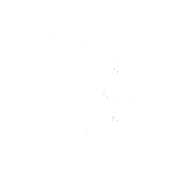 C=CCN1C(=O)N(c2cc(C(C)(C)CCl)on2)C(O)C1O